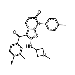 Cc1ccc(-n2c(=O)ccc3c(C(=O)c4ccc(F)c(C)c4)c(NC4CN(C)C4)sc32)cc1